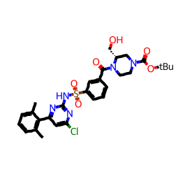 Cc1cccc(C)c1-c1cc(Cl)nc(NS(=O)(=O)c2cccc(C(=O)N3CCN(C(=O)OC(C)(C)C)C[C@H]3CO)c2)n1